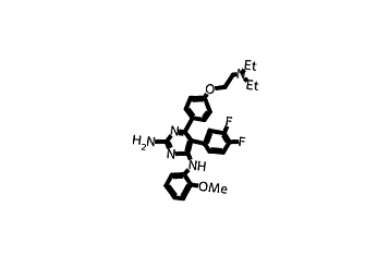 CCN(CC)CCOc1ccc(-c2nc(N)nc(Nc3ccccc3OC)c2-c2ccc(F)c(F)c2)cc1